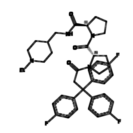 CCN1CCC(CNC(=O)[C@H]2CCCN2C(=O)[C@@H]2CCCN2C(=O)CC(c2ccc(F)cc2)(c2ccc(F)cc2)c2ccc(F)cc2)CC1